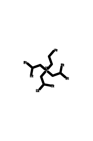 CCC(CC)C[PH](CCC(C)C)(CC(CC)CC)CC(CC)CC